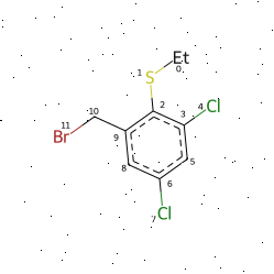 CCSc1c(Cl)cc(Cl)cc1CBr